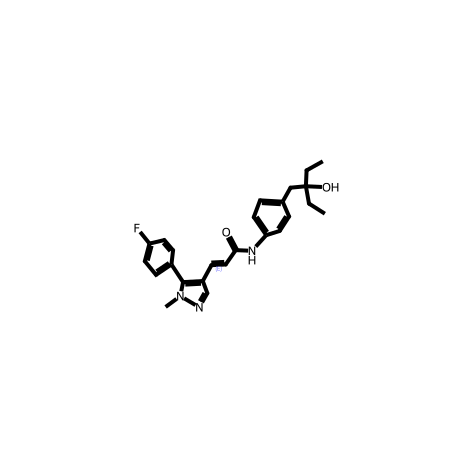 CCC(O)(CC)Cc1ccc(NC(=O)/C=C/c2cnn(C)c2-c2ccc(F)cc2)cc1